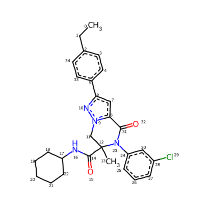 CCc1ccc(-c2cc3n(n2)CC(C)(C(=O)NC2CCCCC2)N(c2cccc(Cl)c2)C3=O)cc1